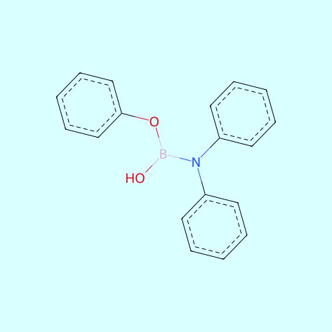 OB(Oc1ccccc1)N(c1ccccc1)c1ccccc1